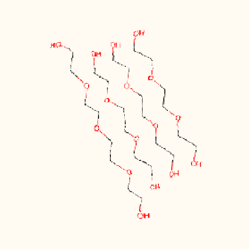 OCCOCCOCCO.OCCOCCOCCO.OCCOCCOCCO.OCCOCCOCCOCCO